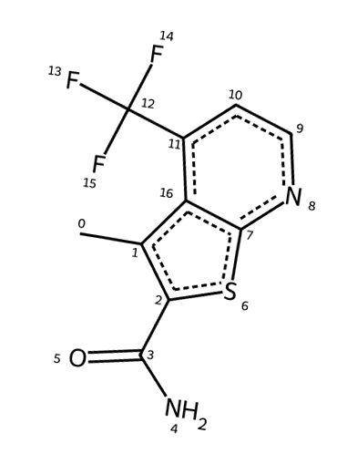 Cc1c(C(N)=O)sc2nccc(C(F)(F)F)c12